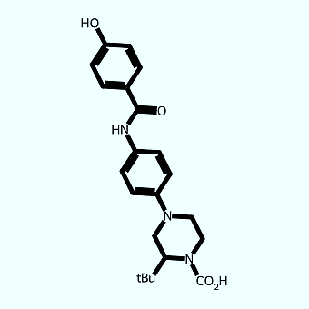 CC(C)(C)C1CN(c2ccc(NC(=O)c3ccc(O)cc3)cc2)CCN1C(=O)O